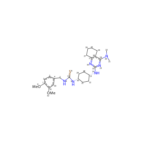 COc1ccc(CNC(=S)N[C@H]2CC[C@@H](Nc3nc4c(c(N(C)C)n3)CCCC4)CC2)cc1OC